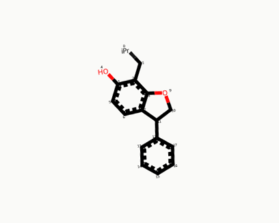 CC(C)Cc1c(O)ccc2c1OCC2c1ccccc1